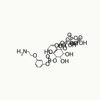 NCCOc1cccc(OB(Oc2ccccc2)OC2C(O)C(O)C(O)(OP(=O)(O)OP(=O)(O)OP(=O)(O)O)C(O)C2O)c1